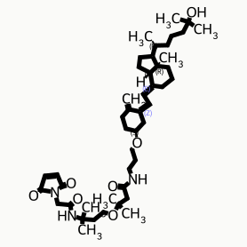 C=C1CC[C@H](OCCCNC(=O)CC(C)(C)OCCC(C)(C)NC(=O)CN2C(=O)C=CC2=O)C/C1=C/C=C1\CCC[C@]2(C)C([C@H](C)CCCC(C)(C)O)CC[C@@H]12